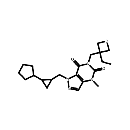 CCC1(Cn2c(=O)c3c(cnn3CC3CC3C3CCCC3)n(C)c2=O)COC1